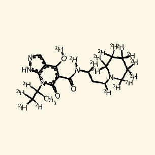 [2H]Oc1c(C(=O)N([2H])C([2H])CC([2H])N2C([2H])([2H])C([2H])([2H])C([2H])([2H])C([2H])([2H])C2([2H])[2H])c(=O)n(C([2H])(C)C([2H])([2H])[2H])c2[nH]ncc12